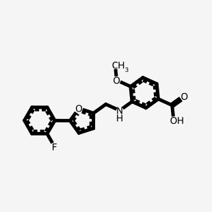 COc1ccc(C(=O)O)cc1NCc1ccc(-c2ccccc2F)o1